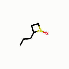 CCCC1CC[S+]1[O-]